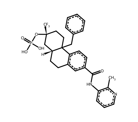 Cc1ncccc1NC(=O)c1ccc2c(c1)CC[C@@H]1C[C@@](OP(=O)(O)O)(C(F)(F)F)CCC21Cc1ccccc1